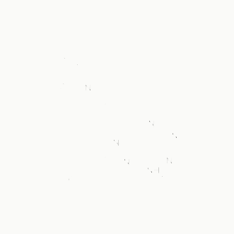 Cn1c(C2=CCC3(CC2)CCN(C(=O)OC(C)(C)C)CC3)c(-c2ncc(C3CCOC3)cn2)c2c(N)ncnc21